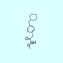 CONC(=O)Cc1ccc(CC2CCCCC2)cc1